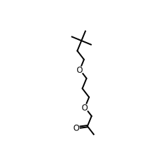 CC(=O)COCCCOCCC(C)(C)C